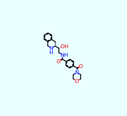 O=C(NC[C@@H](O)[C@@H]1Cc2ccccc2CN1)c1ccc(C(=O)N2CCOCC2)cc1